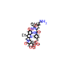 CCc1c2c(nc3ccc(O)cc13)-c1cc3c(c(=O)n1C2)COC(=O)C3(CC)OC(=O)OCc1ccc(NC(=O)C(CCCCN)NC(=O)COC)cc1